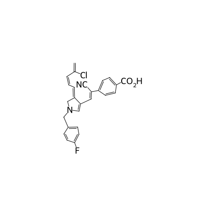 C=C(Cl)/C=C\C=C1/CN(Cc2ccc(F)cc2)C=C1/C=C(\C#N)c1ccc(C(=O)O)cc1